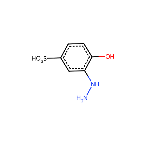 NNc1cc(S(=O)(=O)O)ccc1O